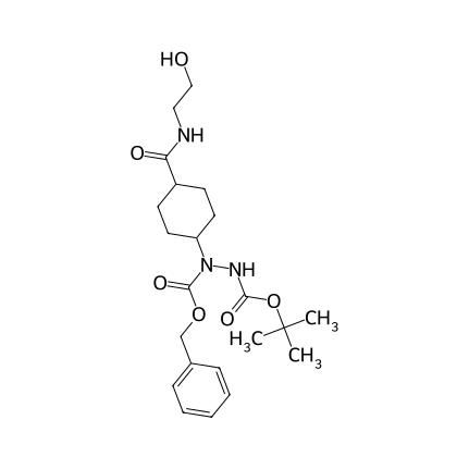 CC(C)(C)OC(=O)NN(C(=O)OCc1ccccc1)C1CCC(C(=O)NCCO)CC1